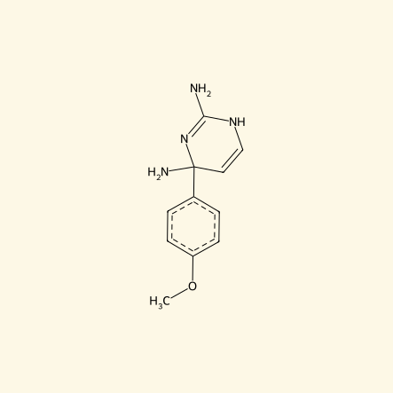 COc1ccc(C2(N)C=CNC(N)=N2)cc1